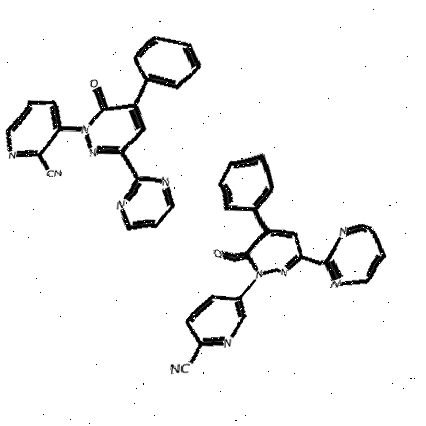 N#Cc1ccc(-n2nc(-c3ncccn3)cc(-c3ccccc3)c2=O)cn1.N#Cc1ncccc1-n1nc(-c2ncccn2)cc(-c2ccccc2)c1=O